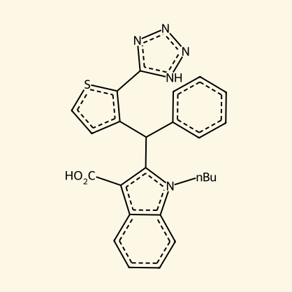 CCCCn1c(C(c2ccccc2)c2ccsc2-c2nnn[nH]2)c(C(=O)O)c2ccccc21